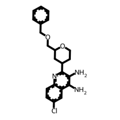 Nc1c(C2CCOC(COCc3ccccc3)C2)nc2ccc(Cl)cc2c1N